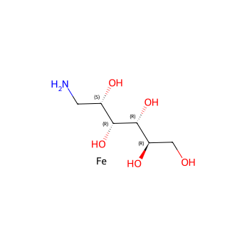 NC[C@H](O)[C@@H](O)[C@H](O)[C@H](O)CO.[Fe]